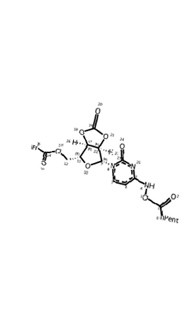 CCCCCC(=O)ONc1ccn([C@@H]2O[C@H](COC(=O)C(C)C)[C@H]3OC(=O)O[C@H]32)c(=O)n1